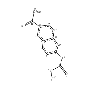 CCCOC(=O)Oc1ccc2cc(C(=O)OC)ccc2c1